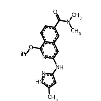 Cc1cc(Nc2cc3cc(C(=O)N(C)C)ccc3c(OC(C)C)n2)n[nH]1